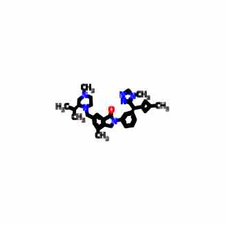 Cc1cc(CN2CCN(C)C[C@@H]2C(C)C)cc2c1CN(c1cccc([C@@H](c3nncn3C)C3CC(C)C3)c1)C2=O